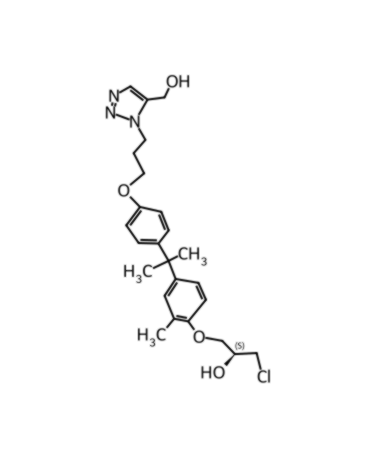 Cc1cc(C(C)(C)c2ccc(OCCCn3nncc3CO)cc2)ccc1OC[C@H](O)CCl